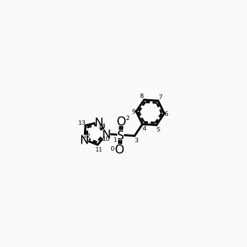 O=S(=O)(Cc1ccccc1)n1cncn1